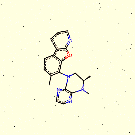 Cc1ccc2c(oc3ncccc32)c1N1C[C@@H](C)N(C)c2nccnc21